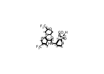 Cc1c(C(F)(F)F)cnc(N2CCOC(C(F)(F)F)C2)c1C(=O)Nc1ccnc(S(C)(=O)=NC(=O)O)c1